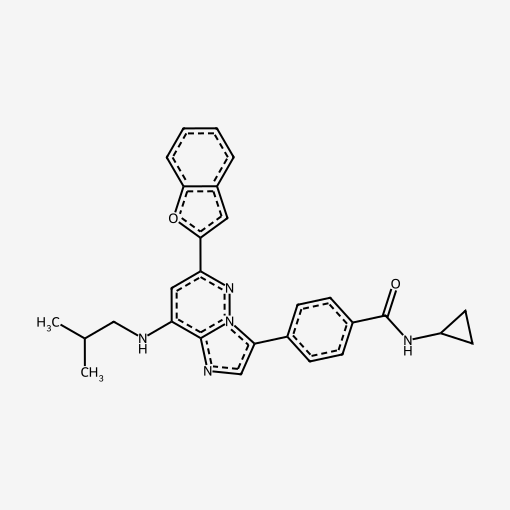 CC(C)CNc1cc(-c2cc3ccccc3o2)nn2c(-c3ccc(C(=O)NC4CC4)cc3)cnc12